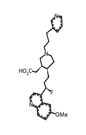 COc1ccc2nccc([C@H](F)CC[C@@H]3CCN(CCCc4cccnc4)C[C@@H]3CC(=O)O)c2c1